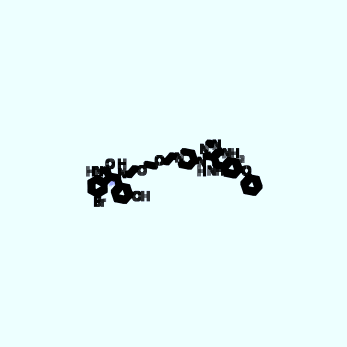 N=C(c1ccc(Oc2ccccc2)cc1)c1c(N)ncnc1NC1CCN(CCOCCOCCN/C(=C2\C(=O)Nc3ccc(Br)cc32)c2cccc(O)c2)CC1